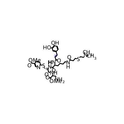 COC(=O)c1ccc(SC[C@H](NC(=O)C(CCCCNC(=O)CCSCCN(C)C)NC(=O)/C=C/c2ccc(O)c(O)c2)C(=O)NC(CN)C(=O)OC)nc1